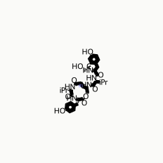 CC(C)C(NC(=O)C(Cc1ccc(O)cc1)NC(=O)O)C(=O)N[C@@H]1/C=C/C(=O)N[C@@H](C(C)C)C(=O)N[C@@H](Cc2ccc(O)cc2)C(=O)OC1